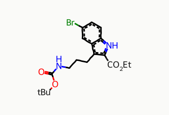 CCOC(=O)c1[nH]c2ccc(Br)cc2c1CCCNC(=O)OC(C)(C)C